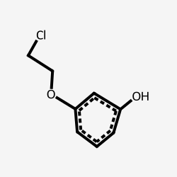 Oc1cccc(OCCCl)c1